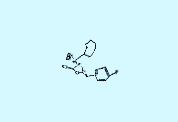 O=C1O[C@H](Cc2ccc(F)cc2)C[C@H]1[C@H](Br)C1CCCCC1